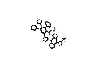 C/C=C\C=C(/C)c1c(-c2cccc(-c3c4ccccc4c(-c4cccc(P(C)(C)=O)c4)c4ccccc34)c2)cc(-c2ccccc2)c(-c2ccccc2)c1-c1ccccc1